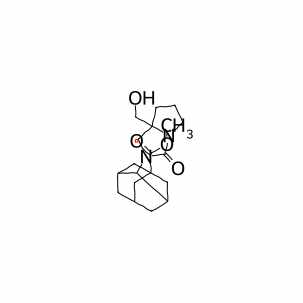 COC(=O)C12CC3CC(C1)C(N1CC4(CO)CCCN4C1=O)C(C3)C2